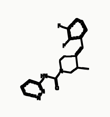 CC1CN(C(=O)Nc2cccnn2)CCC1=Cc1cccc(F)c1F